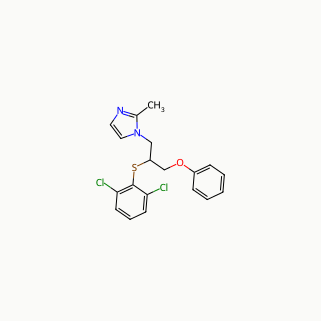 Cc1nccn1CC(COc1ccccc1)Sc1c(Cl)cccc1Cl